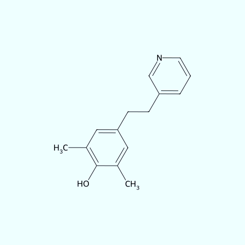 Cc1cc(CCc2cccnc2)cc(C)c1O